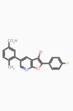 Cc1ccc(C(=O)O)cc1-c1cnc2oc(-c3ccc(F)cc3)c(Br)c2c1